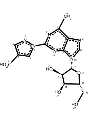 Nc1nc(-n2cc(C(=O)O)cn2)nc2c1ncn2[C@@H]1O[C@H](CO)[C@@H](O)[C@H]1O